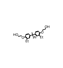 CCc1cc(C(C)(c2ccc(OCCO)c(CC)c2)C(C)C)ccc1OCCO